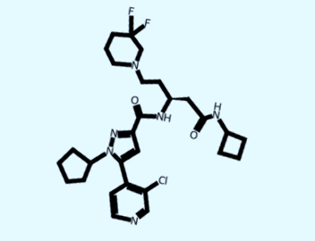 O=C(C[C@H](CCN1CCCC(F)(F)C1)NC(=O)c1cc(-c2ccncc2Cl)n(C2CCCC2)n1)NC1CCC1